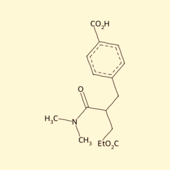 CCOC(=O)CC(Cc1ccc(C(=O)O)cc1)C(=O)N(C)C